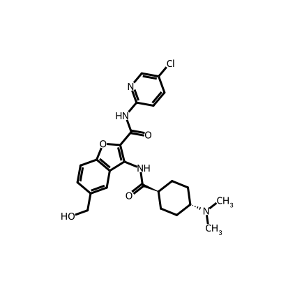 CN(C)[C@H]1CC[C@H](C(=O)Nc2c(C(=O)Nc3ccc(Cl)cn3)oc3ccc(CO)cc23)CC1